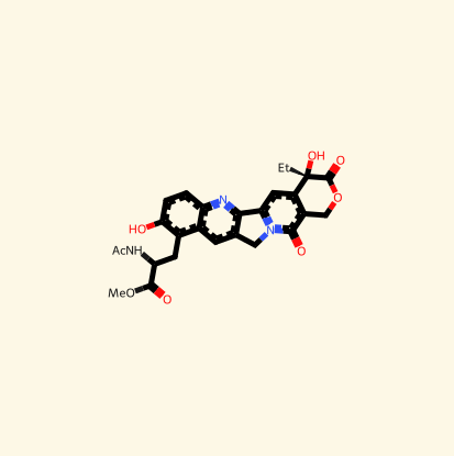 CC[C@@]1(O)C(=O)OCc2c1cc1n(c2=O)Cc2cc3c(CC(NC(C)=O)C(=O)OC)c(O)ccc3nc2-1